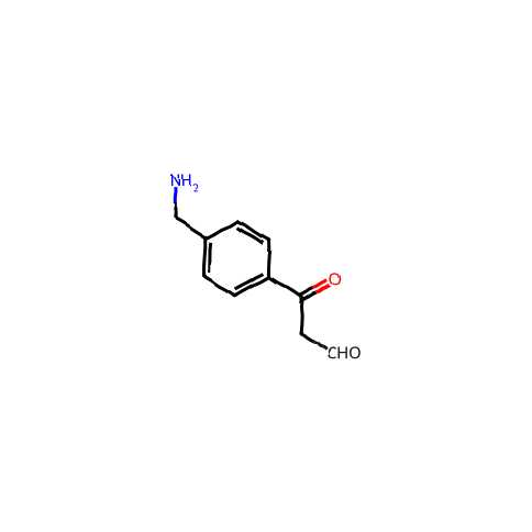 NCc1ccc(C(=O)CC=O)cc1